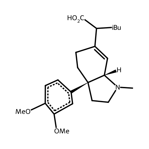 CCC(C)C(C(=O)O)C1=C[C@@H]2N(C)CC[C@]2(c2ccc(OC)c(OC)c2)CC1